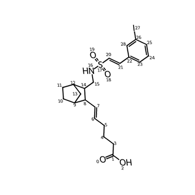 O=C(O)CCCC=CC1C2CCC(C2)C1CNS(=O)(=O)C=Cc1cccc(I)c1